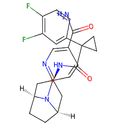 NC(=O)c1ccc(N2[C@@H]3CC[C@H]2C[C@@H](NC(=O)C2(c4ccc(F)c(F)c4)CC2)C3)nc1